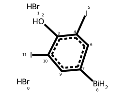 Br.Br.Oc1c(I)c[c]([BiH2])cc1I